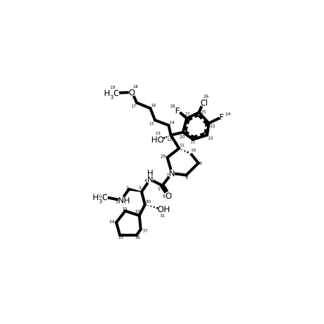 CNC[C@@H](NC(=O)N1CCC[C@@H]([C@@](O)(CCCCOC)c2ccc(F)c(Cl)c2F)C1)[C@H](O)C1CCCCC1